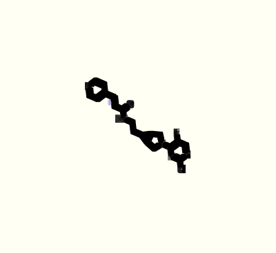 O=C(/C=C/c1ccncc1)NCCC1C2CN(c3nc(Cl)ncc3F)CC12